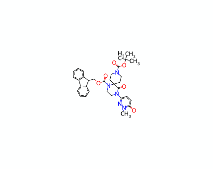 Cn1nc(N2CCN(C(=O)OCC3c4ccccc4-c4ccccc43)C3(CCN(C(=O)OC(C)(C)C)CC3)C2=O)ccc1=O